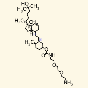 C=C1CC[C@H](OC(=O)NCCOCCOCCN)C/C1=C/C=C1\CCC[C@]2(C)[C@@H]([C@H](C)CCCC(C)(C)O)CC[C@@H]12